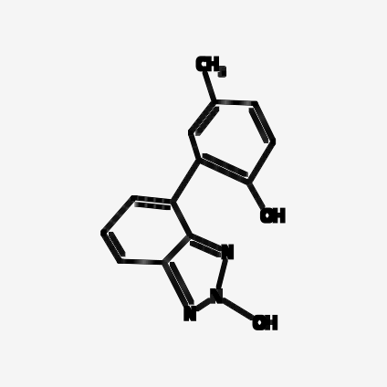 Cc1ccc(O)c(-c2cccc3nn(O)nc23)c1